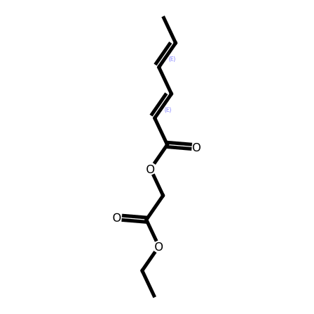 C/C=C/C=C/C(=O)OCC(=O)OCC